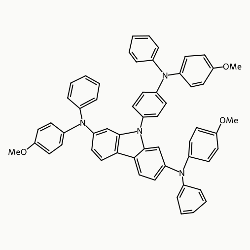 COc1ccc(N(c2ccccc2)c2ccc(-n3c4cc(N(c5ccccc5)c5ccc(OC)cc5)ccc4c4ccc(N(c5ccccc5)c5ccc(OC)cc5)cc43)cc2)cc1